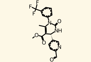 COC(=O)C1=C(C)N(c2cccc(C(F)(F)F)c2)C(=O)N[C@@H]1c1ccc(C=O)nc1